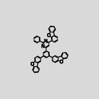 c1ccc(-c2nc(-c3cc(-c4ccc5oc6ccccc6c5c4)cc(-c4ccc5oc6ccccc6c5c4)c3)cc(-c3cccc4c3oc3ccccc34)n2)cc1